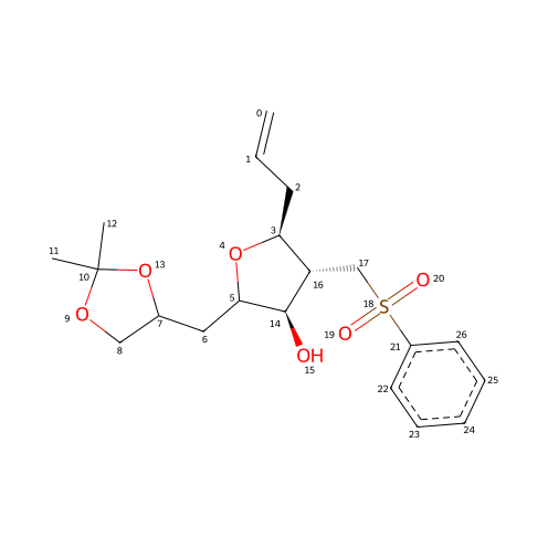 C=CC[C@@H]1OC(CC2COC(C)(C)O2)[C@H](O)[C@H]1CS(=O)(=O)c1ccccc1